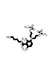 CS(=O)(=O)OCCN(CCOS(C)(=O)=O)c1ccc([N+](=O)[O-])c(C(=O)NCCCCO)c1[N+](=O)[O-]